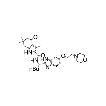 CCCCC(NC(=O)c1[nH]c2c(c1C)C(=O)CC(C)(C)C2)c1nc2ccc(OCCN3CCOCC3)cc2[nH]1